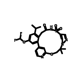 CC(C)c1cc(OC(F)F)cc2c1CC(=O)NS(=O)(=O)c1cnn(c1)C(C)(C)COc1cc-2ccn1